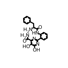 NC(=O)c1nc(-c2ccccc2NC(=O)[C@@H](N)Cc2ccccc2)nc(O)c1O